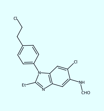 CCc1nc2cc(NC=O)c(Cl)cc2n1-c1ccc(CCCl)cc1